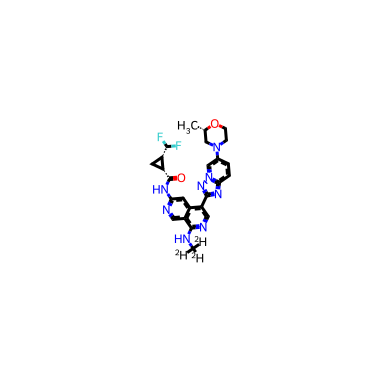 [2H]C([2H])([2H])Nc1ncc(-c2nc3ccc(N4CCO[C@@H](C)C4)cn3n2)c2cc(NC(=O)[C@@H]3C[C@@H]3C(F)F)ncc12